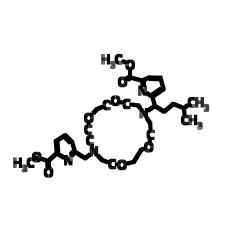 COC(=O)c1cccc(CN2CCOCCOCCN(C(CCC(C)C)c3cccc(C(=O)OC)n3)CCOCCOCC2)n1